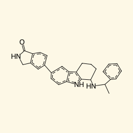 CC(NC1CCCc2c1[nH]c1ccc(-c3ccc4c(c3)CNC4=O)cc21)c1ccccc1